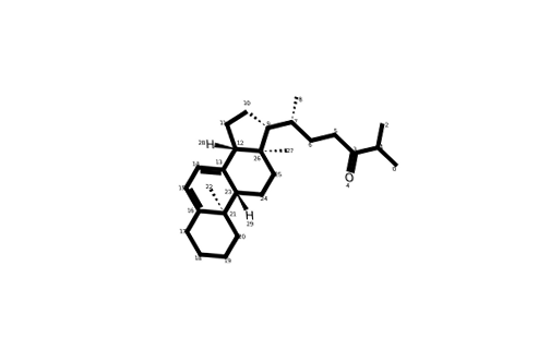 CC(C)C(=O)CC[C@@H](C)[C@H]1CC[C@H]2C3=CC=C4CCCC[C@]4(C)[C@H]3CC[C@]12C